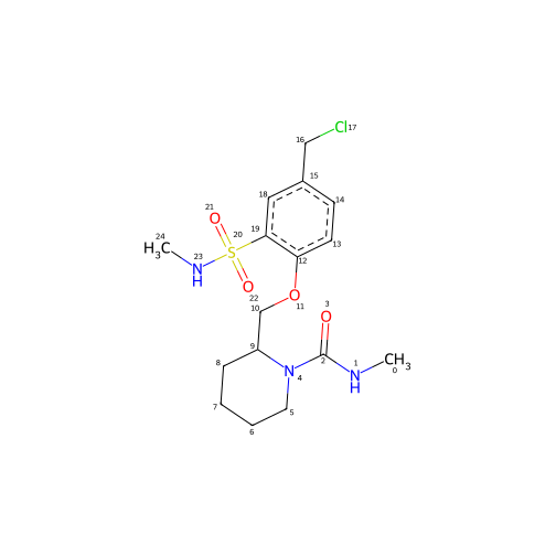 CNC(=O)N1CCCCC1COc1ccc(CCl)cc1S(=O)(=O)NC